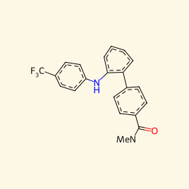 CNC(=O)c1ccc(-c2ccccc2Nc2ccc(C(F)(F)F)cc2)cc1